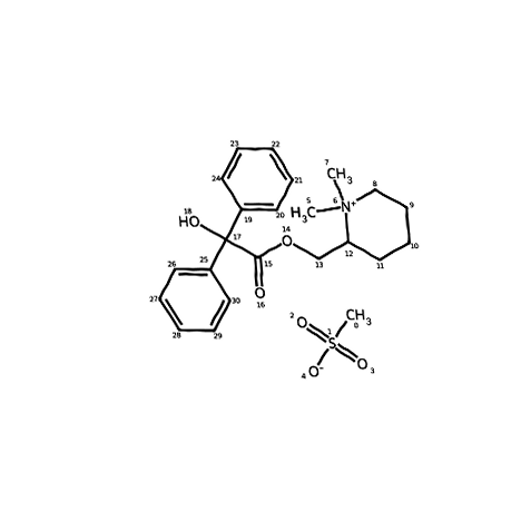 CS(=O)(=O)[O-].C[N+]1(C)CCCCC1COC(=O)C(O)(c1ccccc1)c1ccccc1